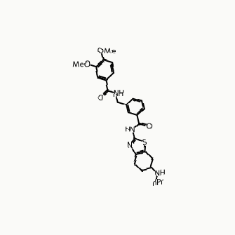 CCCNC1CCc2nc(NC(=O)c3cccc(CNC(=O)c4ccc(OC)c(OC)c4)c3)sc2C1